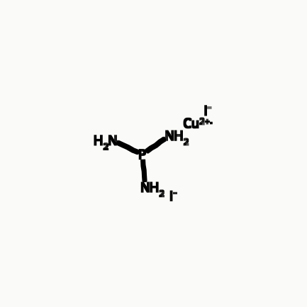 NP(N)N.[Cu+2].[I-].[I-]